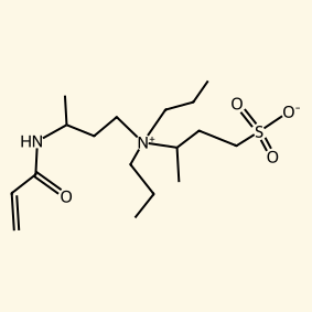 C=CC(=O)NC(C)CC[N+](CCC)(CCC)C(C)CCS(=O)(=O)[O-]